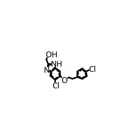 OCc1nc2cc(Cl)c(OCCc3ccc(Cl)cc3)cc2[nH]1